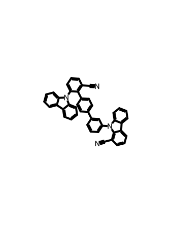 N#Cc1cccc(-n2c3ccccc3c3ccccc32)c1-c1ccc(-c2cccc(-n3c4ccccc4c4cccc(C#N)c43)c2)cc1